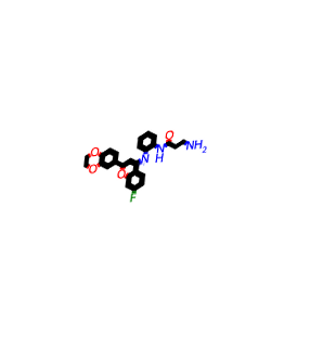 NCCC(=O)Nc1ccccc1/N=c1\cc(-c2ccc3c(c2)OCCO3)oc2cc(F)ccc12